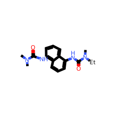 CCN(C)C(=O)Nc1cccc2c(NC(=O)N(C)C)cccc12